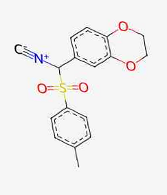 [C-]#[N+]C(c1ccc2c(c1)OCCO2)S(=O)(=O)c1ccc(C)cc1